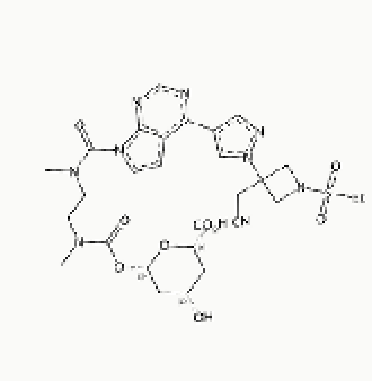 CCS(=O)(=O)N1CC(CC#N)(n2cc(-c3ncnc4c3ccn4C(=O)N(C)CCN(C)C(=O)O[C@H]3C[C@@H](O)C[C@@H](C(=O)O)O3)cn2)C1